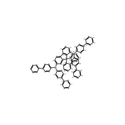 c1ccc(-c2ccc(N(c3ccc(-c4ccccc4)cc3)c3ccc4c(c3)C3(c5ccccc5-c5ccccc53)c3c-4cccc3N(c3ccc(-c4ccccc4)cc3)c3ccc(-c4ccccc4)cc3)cc2)cc1